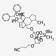 CC(C)C1=CC2CC3(C=O)C4CCC(C)C4CC2(COC24OC5OC(C(OCCCC#N)C5O2)C4O[Si](C)(C)C(C)(C)C)C13C(=O)OC(c1ccccc1)c1ccccc1